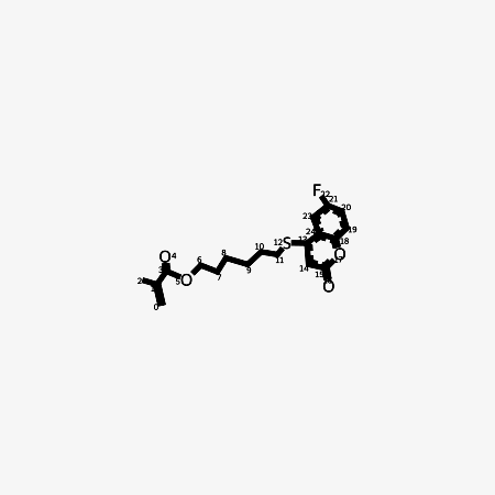 C=C(C)C(=O)OCCCCCCSc1cc(=O)oc2ccc(F)cc12